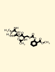 COC(=O)c1ccccc1OC(=O)SCC(NC(C)=O)C(=O)NC(=N)NC(=N)N(C)C